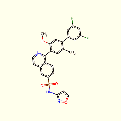 COc1cc(-c2cc(F)cc(F)c2)c(C)cc1-c1nccc2cc(S(=O)(=O)Nc3ccon3)ccc12